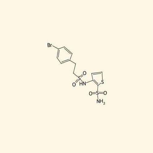 NS(=O)(=O)c1sccc1NS(=O)(=O)CCc1ccc(Br)cc1